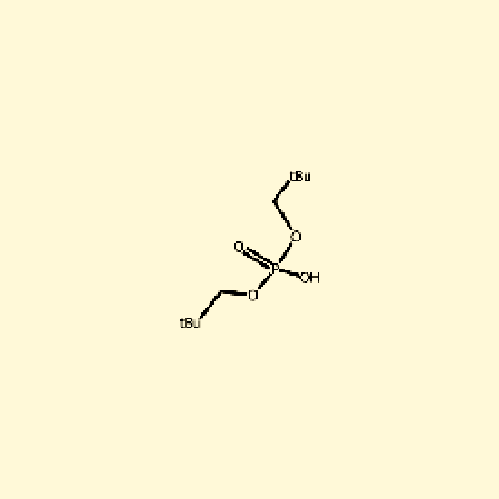 CC(C)(C)COP(=O)(O)OCC(C)(C)C